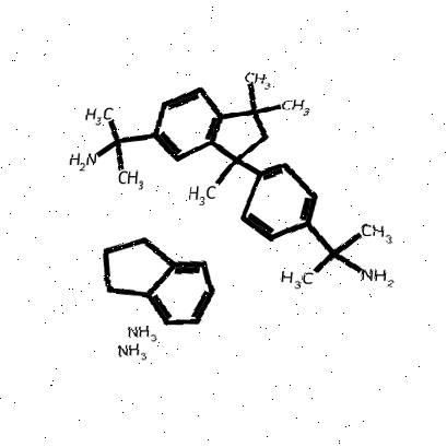 CC(C)(N)c1ccc(C2(C)CC(C)(C)c3ccc(C(C)(C)N)cc32)cc1.N.N.c1ccc2c(c1)CCC2